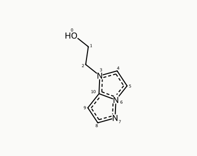 OCCn1ccn2nccc12